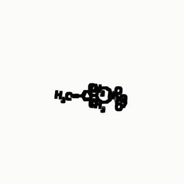 CC#Cc1cc(C)c(C2C(=O)CCCN(C(=O)[C@@H]3COCCO3)CCCC2=O)c(C)c1